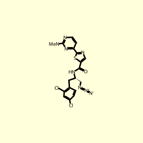 CNc1nccc(-c2ncc(C(=O)N[C@H](CN=[N+]=[N-])Cc3ccc(Cl)cc3Cl)s2)n1